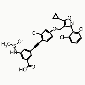 C[S+]([O-])Nc1cc(C#Cc2ccc(OCc3c(-c4c(Cl)cccc4Cl)noc3C3CC3)cc2Cl)cc(C(=O)O)c1